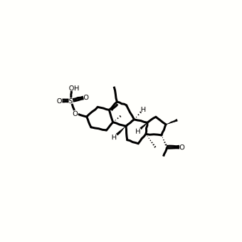 CC(=O)[C@H]1[C@H](C)C[C@H]2[C@@H]3CC(C)=C4CC(OS(=O)(=O)O)CC[C@]4(C)[C@H]3CC[C@@]21C